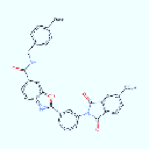 COc1ccc(CNC(=O)c2ccc3nc(-c4cccc(N5C(=O)c6ccc(C(=O)O)cc6C5=O)c4)oc3c2)cc1